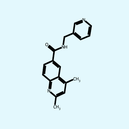 Cc1cc(C)c2cc(C(=O)NCc3cccnc3)ccc2n1